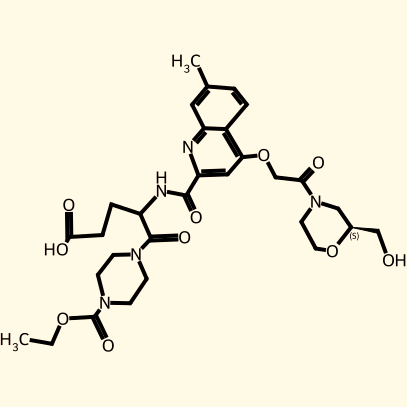 CCOC(=O)N1CCN(C(=O)C(CCC(=O)O)NC(=O)c2cc(OCC(=O)N3CCO[C@H](CO)C3)c3ccc(C)cc3n2)CC1